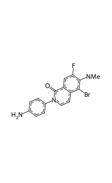 CNc1c(F)cc2c(=O)n(-c3ccc(N)cc3)ccc2c1Br